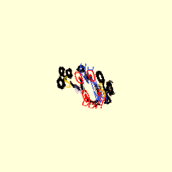 CC(C)[C@H]1NC(=O)[C@@H](CSC(c2ccccc2)(c2ccccc2)c2ccccc2)NC(=O)[C@@H](Cc2ccccc2)NC(=O)C[C@@H](/C=C/CCSC(c2ccccc2)(c2ccccc2)c2ccccc2)OC(=O)C[C@@H]1O